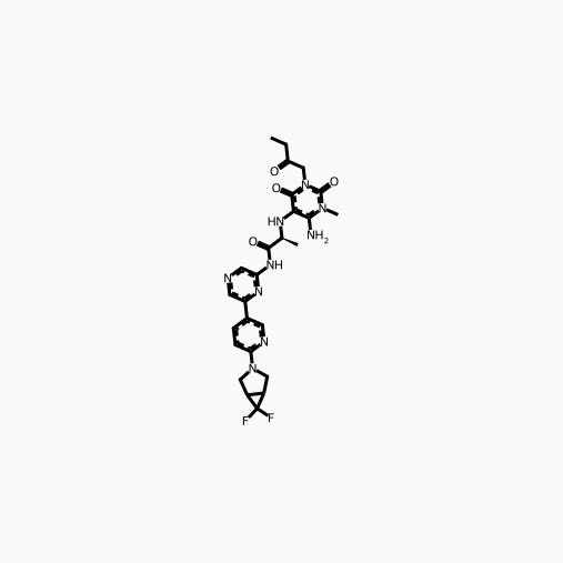 CCC(=O)Cn1c(=O)c(N[C@@H](C)C(=O)Nc2cncc(-c3ccc(N4CC5C(C4)C5(F)F)nc3)n2)c(N)n(C)c1=O